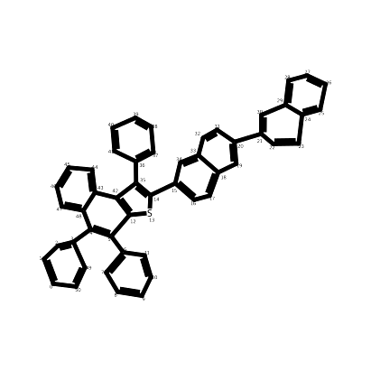 c1ccc(-c2c(-c3ccccc3)c3sc(-c4ccc5cc(-c6ccc7ccccc7c6)ccc5c4)c(-c4ccccc4)c3c3ccccc23)cc1